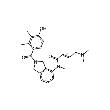 Cc1c(O)ccc(C(=O)N2Cc3cccc(N(C)C(=O)/C=C/CN(C)C)c3C2)c1C